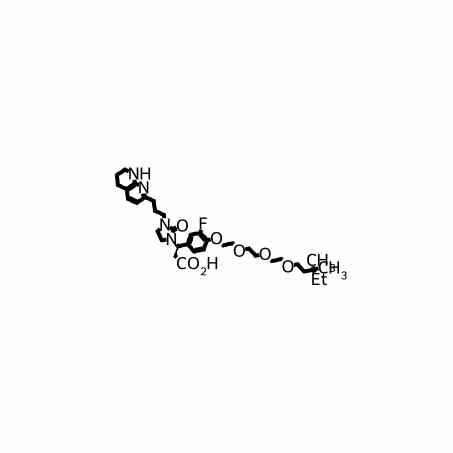 CCC(C)(C)CCOCCOCCOCCOc1ccc([C@@H](CC(=O)O)N2CCN(CCCc3ccc4c(n3)NCCC4)C2=O)cc1F